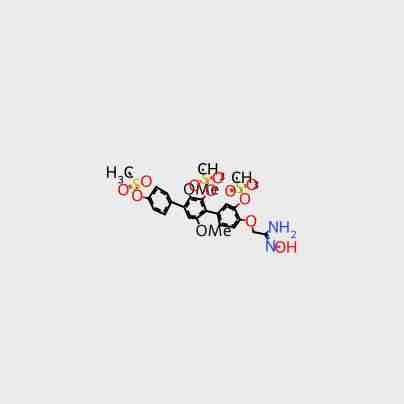 COc1cc(-c2ccc(OS(C)(=O)=O)cc2)c(OC)c(OS(C)(=O)=O)c1-c1ccc(OC/C(N)=N/O)c(OS(C)(=O)=O)c1